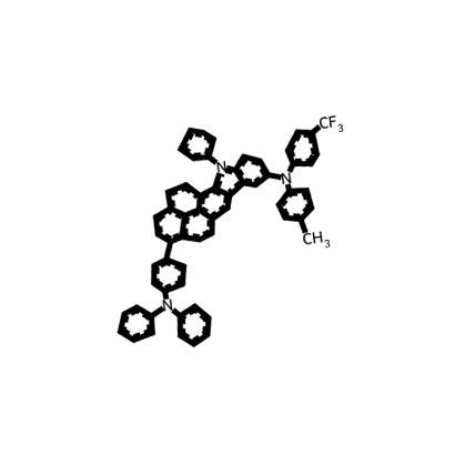 Cc1ccc(N(c2ccc(C(F)(F)F)cc2)c2ccc3c(c2)c2cc4ccc5c(-c6ccc(N(c7ccccc7)c7ccccc7)cc6)ccc6ccc(c4c65)c2n3-c2ccccc2)cc1